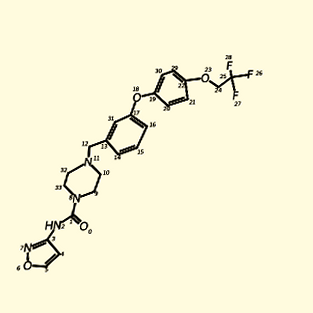 O=C(Nc1ccon1)N1CCN(Cc2cccc(Oc3ccc(OCC(F)(F)F)cc3)c2)CC1